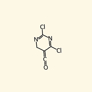 O=C=C1CN=C(Cl)N=C1Cl